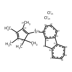 CC1=C(C)C(C)(C)[C]([Ti+2][c]2cccc3c2Cc2ccccc2-3)=C1C.[Cl-].[Cl-]